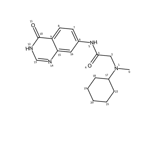 CN(CC(=O)Nc1ccc2c(=O)[nH]cnc2c1)C1CCCCC1